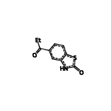 CCC(=O)c1ccc2sc(=O)[nH]c2c1